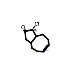 O=C1CC2CC/C=C\CCC2[C@@H]1Cl